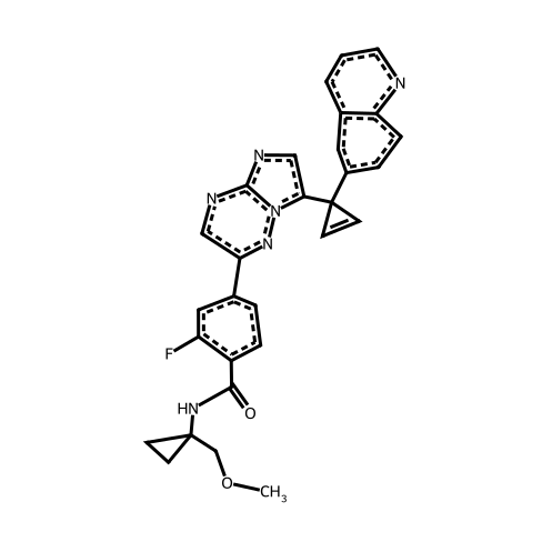 COCC1(NC(=O)c2ccc(-c3cnc4ncc(C5(c6ccc7ncccc7c6)C=C5)n4n3)cc2F)CC1